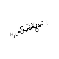 CCOC(=O)CCC[C@@H](N)C(=O)OCC